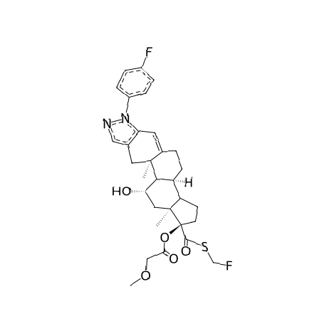 COCC(=O)O[C@]1(C(=O)SCF)CCC2[C@@H]3CCC4=Cc5c(cnn5-c5ccc(F)cc5)C[C@]4(C)C3[C@@H](O)C[C@@]21C